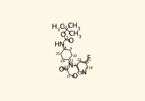 CC(C)(C)OC(=O)NC1CCC(N2C(=O)COc3ncc(F)cc32)CC1